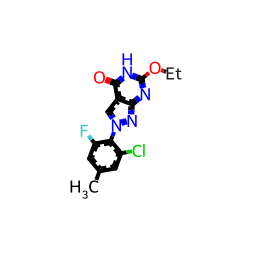 CCOc1nc2nn(-c3c(F)cc(C)cc3Cl)cc2c(=O)[nH]1